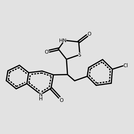 O=C1NC(=O)C(C(Cc2ccc(Cl)cc2)c2cc3ccccc3[nH]c2=O)S1